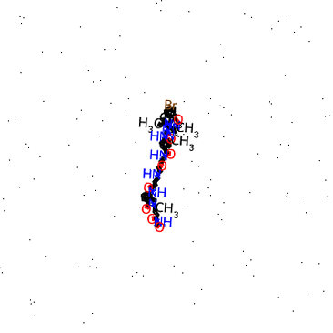 CCC(C)N(Cc1ccc(Br)cc1)c1nc(Nc2ccc(C(=O)NCCOCCNCCCC(=O)Nc3cccc4c3CN(C(C)CCC(=O)NC=O)C4=O)cc2OC)ncc1N(C)C=O